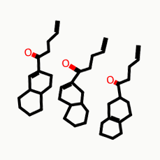 C=CCCC(=O)C1=CC2CCCCC2CC1.C=CCCC(=O)C1=CCC2CCCCC2C1.C=CCCC(=O)C1CCC2=C(CCCC2)C1